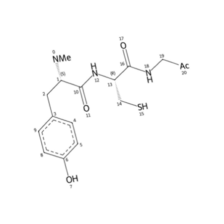 CN[C@@H](Cc1ccc(O)cc1)C(=O)N[C@@H](CS)C(=O)NCC(C)=O